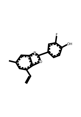 C=Cc1cc(C)cc2nc(-c3ccc(O)c(F)c3)oc12